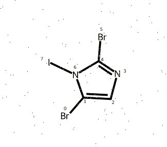 Brc1cnc(Br)n1I